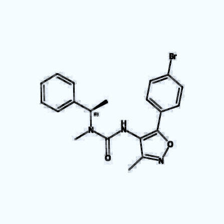 Cc1noc(-c2ccc(Br)cc2)c1NC(=O)N(C)[C@H](C)c1ccccc1